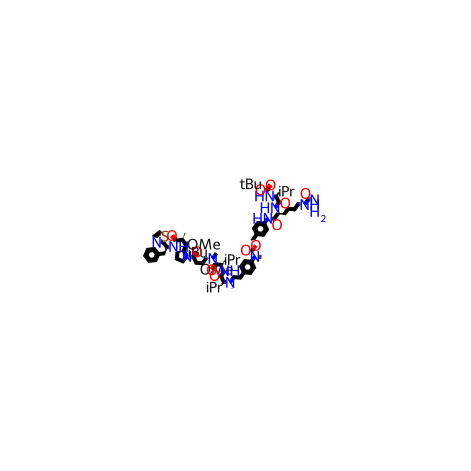 CC[C@H](C)[C@@H]([C@@H](CC(=O)N1CCC[C@H]1[C@H](OC)[C@@H](C)C(=O)N[C@@H](Cc1ccccc1)c1nccs1)OC)N(C)C(=O)[C@@H](NC(=O)[C@H](C(C)C)N(C)CCc1ccc(N(C)C(=O)OCc2ccc(NC(=O)[C@H](CCCCNC(N)=O)NC(=O)[C@@H](NC(=O)OC(C)(C)C)C(C)C)cc2)cc1)C(C)C